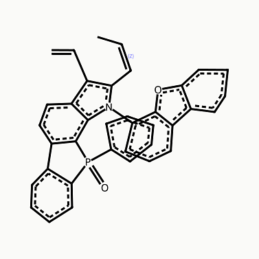 C=Cc1c(/C=C\C)n(-c2cccc3c2oc2ccccc23)c2c3c(ccc12)-c1ccccc1P3(=O)c1ccccc1